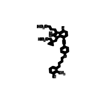 Cc1c(Cl)cccc1CCCCOc1ccc(C#Cc2ccc(F)c3c(CCCC(=O)O)c(C)n(CC4(CC(=O)O)CC4)c23)cc1